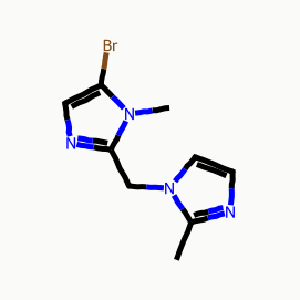 Cc1nccn1Cc1ncc(Br)n1C